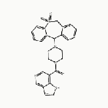 O=C(c1cncc2cc[nH]c12)N1CCN(C2c3ccccc3CS(=O)(=O)c3ccccc32)CC1